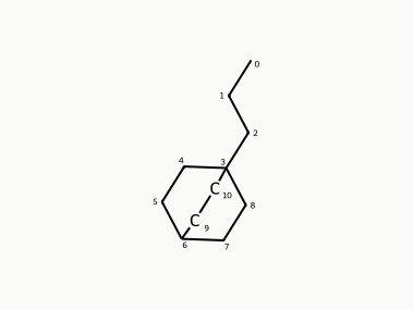 CCCC12CCC(CC1)CC2